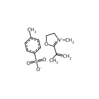 C=C(C)C1=[N+](C)CCO1.Cc1ccc(S(=O)(=O)[O-])cc1